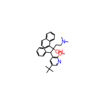 COc1ncc(C(C)(C)C)cc1C(c1ccccc1)C(O)(CCN(C)C)c1cccc2ccccc12